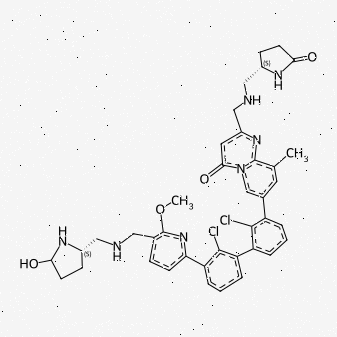 COc1nc(-c2cccc(-c3cccc(-c4cc(C)c5nc(CNC[C@@H]6CCC(=O)N6)cc(=O)n5c4)c3Cl)c2Cl)ccc1CNC[C@@H]1CCC(O)N1